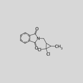 CC1C(CN2C(=O)c3ccccc3C2=O)C1(Cl)Cl